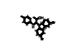 Cc1ccc(NC(C(C)O)n2c3ccc(Br)cc3c3cc(Br)ccc32)cc1